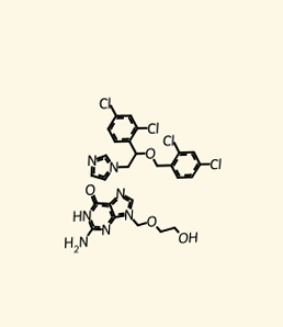 Clc1ccc(COC(Cn2ccnc2)c2ccc(Cl)cc2Cl)c(Cl)c1.Nc1nc2c(ncn2COCCO)c(=O)[nH]1